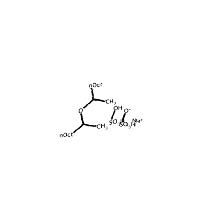 CCCCCCCCC(C)OC(C)CCCCCCCC.O=S(=O)(O)O.O=S(=O)([O-])O.[Na+]